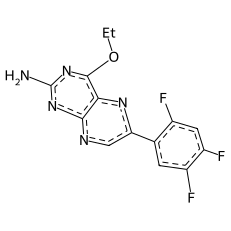 CCOc1nc(N)nc2ncc(-c3cc(F)c(F)cc3F)nc12